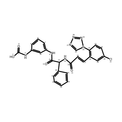 O=C(O)Nc1cccc(NC(=O)C(NC(=O)/C=C/c2cc(Cl)ccc2-n2cnnn2)c2ccccc2)c1